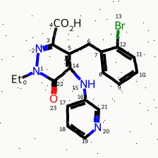 CCn1nc(C(=O)O)c(Cc2ccccc2Br)c(Nc2cccnc2)c1=O